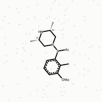 COc1cccc(N(C(C)=O)N2C[C@@H](C)N[C@@H](C)C2)c1C